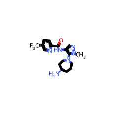 Cn1ncc(NC(=O)c2ccc(C(F)(F)F)cn2)c1N1CCC[C@@H](N)CC1